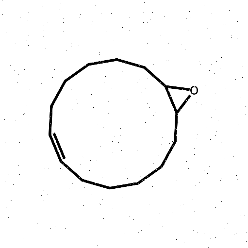 C1=C\CCCCCC2OC2CCCCC/1